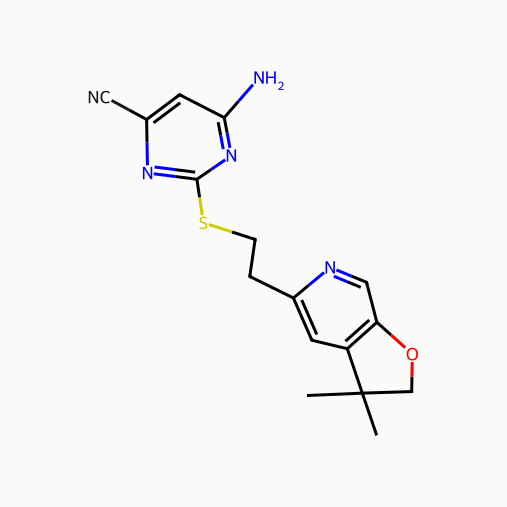 CC1(C)COc2cnc(CCSc3nc(N)cc(C#N)n3)cc21